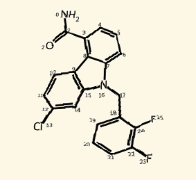 NC(=O)c1cccc2c1c1[c]cc(Cl)cc1n2Cc1cccc(F)c1F